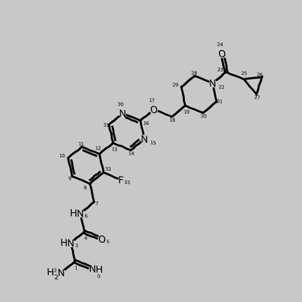 N=C(N)NC(=O)NCc1cccc(-c2cnc(OCC3CCN(C(=O)C4CC4)CC3)nc2)c1F